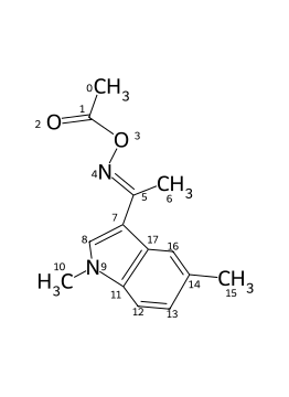 CC(=O)O/N=C(\C)c1cn(C)c2ccc(C)cc12